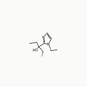 CCn1c[c]nc1C(O)(CC)CC